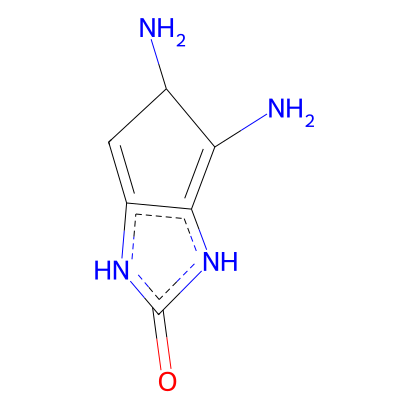 NC1=c2[nH]c(=O)[nH]c2=CC1N